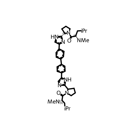 CN[C@@H](CC(C)C)C(=O)N1CCCC1c1ncc(-c2ccc(-c3ccc(-c4c[nH]c([C@@H]5CCCN5C(=O)[C@H](CC(C)C)NC)n4)cc3)cc2)[nH]1